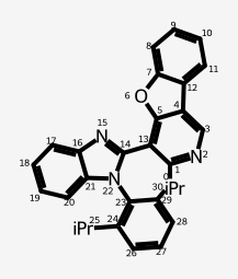 Cc1ncc2c(oc3ccccc32)c1-c1nc2ccccc2n1-c1c(C(C)C)cccc1C(C)C